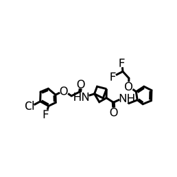 O=C(COc1ccc(Cl)c(F)c1)NC12CC(C1)C(C(=O)NCc1ccccc1OCC(F)F)C2